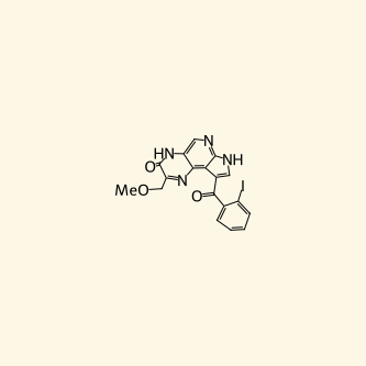 COCc1nc2c(cnc3[nH]cc(C(=O)c4ccccc4I)c32)[nH]c1=O